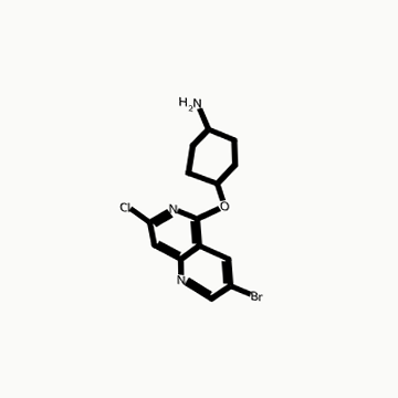 NC1CCC(Oc2nc(Cl)cc3ncc(Br)cc23)CC1